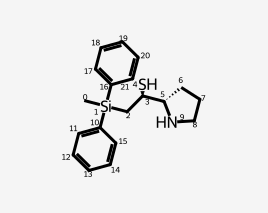 C[Si](C[C@@H](S)[C@@H]1CCCN1)(c1ccccc1)c1ccccc1